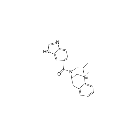 CC1CN(C(=O)c2ccc3nc[nH]c3c2)C2Cc3ccccc3[C@@]1(C)C2